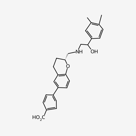 Cc1ccc(C(O)CNC[C@H]2CCc3cc(-c4ccc(C(=O)O)cc4)ccc3O2)cc1C